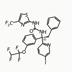 O=C(Nc1nc(C(F)(F)F)cs1)N[C@@](Cc1ccccc1)(c1cccc(OC(F)(F)C(F)F)c1)c1ccc(I)cn1